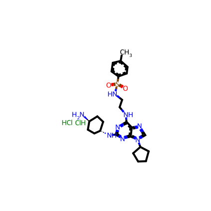 Cc1ccc(S(=O)(=O)NCCNc2nc(N[C@H]3CC[C@H](N)CC3)nc3c2ncn3C2CCCC2)cc1.Cl.Cl